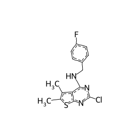 Cc1sc2nc(Cl)nc(NCc3ccc(F)cc3)c2c1C